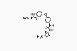 CC(=O)Nc1nc2cc(Oc3ccc(NC(=O)Nc4ncc(C)s4)cc3)ccc2[nH]1